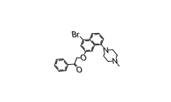 CN1CCN(c2cccc3c(Br)cc(OCC(=O)c4ccccc4)cc23)CC1